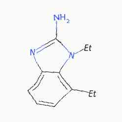 CCc1cccc2nc(N)n(CC)c12